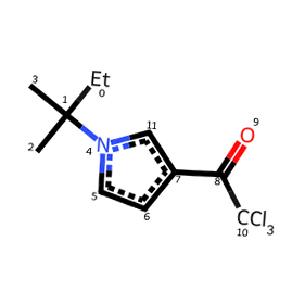 CCC(C)(C)n1ccc(C(=O)C(Cl)(Cl)Cl)c1